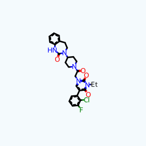 CCn1c(=O)c(-c2cccc(F)c2Cl)cn(CC(=O)N2CCC(N3CCc4ccccc4NC3=O)CC2)c1=O